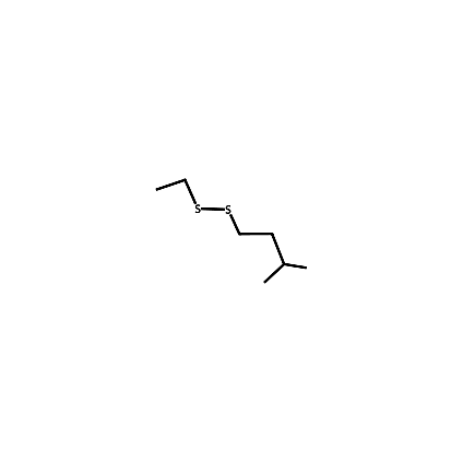 CCSSCCC(C)C